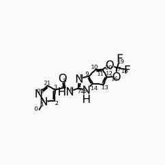 Cn1cc(C(=O)Nc2nc3cc4c(cc3[nH]2)OC(F)(F)O4)cn1